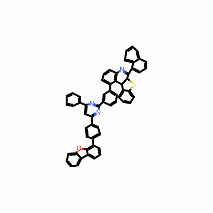 c1ccc(-c2cc(-c3ccc(-c4cccc5c4oc4ccccc45)cc3)nc(-c3cccc(-c4cccc5c4C4c6ccccc6SC4C(c4cccc6ccccc46)=N5)c3)n2)cc1